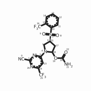 N#Cc1nc(N2C[C@@H](S(=O)(=O)c3ccccc3C(F)(F)F)CC2OC(N)=O)cc(C(F)(F)F)n1